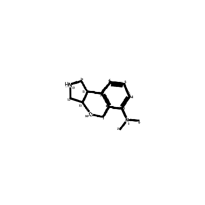 CN(C)c1cccc2c1COC1CNCC21